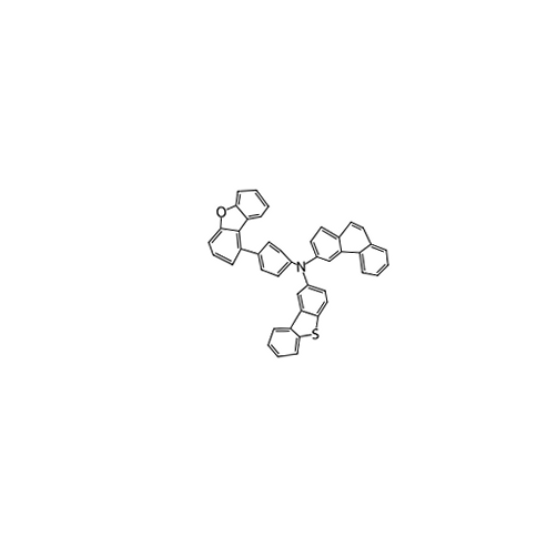 c1ccc2c(c1)ccc1ccc(N(c3ccc(-c4cccc5oc6ccccc6c45)cc3)c3ccc4sc5ccccc5c4c3)cc12